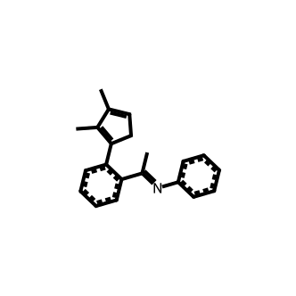 CC1=CCC(c2ccccc2/C(C)=N/c2ccccc2)=C1C